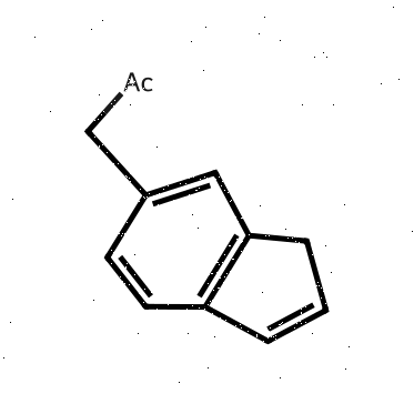 CC(=O)Cc1ccc2c(c1)CC=C2